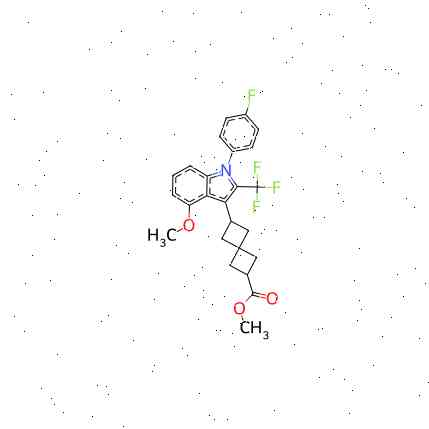 COC(=O)C1CC2(C1)CC(c1c(C(F)(F)F)n(-c3ccc(F)cc3)c3cccc(OC)c13)C2